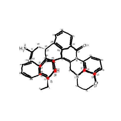 CC[C@H](NC(=O)c1c(CN2CCOCC2)n(-c2ccccc2)c(=O)c2cccc([C@@H](CC(N)=O)c3ccccc3)c12)c1ccccc1